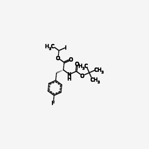 CC(I)OC(=O)[C@@H](Cc1ccc(F)cc1)NC(=O)OC(C)(C)C